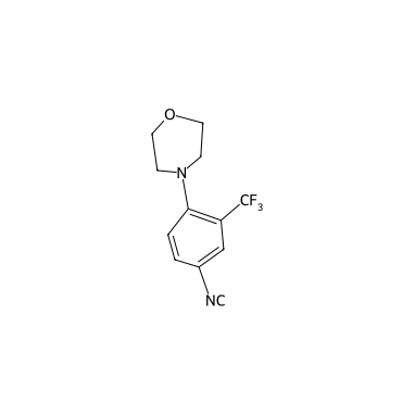 [C-]#[N+]c1ccc(N2CCOCC2)c(C(F)(F)F)c1